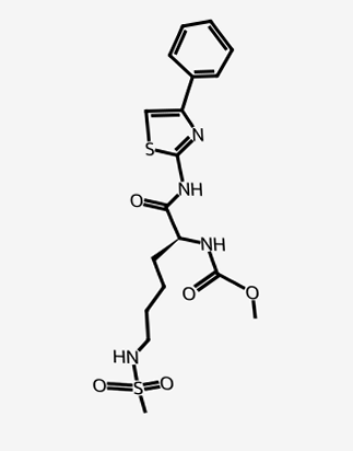 COC(=O)N[C@@H](CCCCNS(C)(=O)=O)C(=O)Nc1nc(-c2ccccc2)cs1